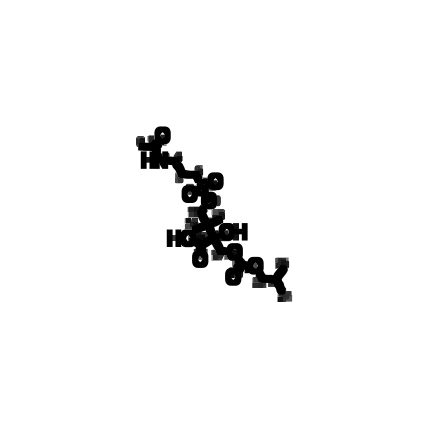 CC(=O)NCCCS(=O)(=O)OCC(C)(C)[C@@](O)(COC(=O)OCC(C)C)C(=O)O